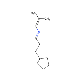 CC(C)=C/N=C/CCC1CCCC1